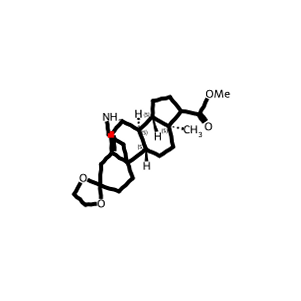 COC(=O)C1CC[C@H]2[C@@H]3CC=C4CC5(CCC4(CCN)[C@H]3CC[C@]12C)OCCO5